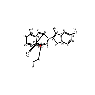 CCCC1NC2=NN(c3sc4ccc(Cl)cc4c3C)C=CC3=C(C)CC=CC23OC1=O